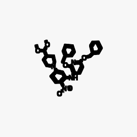 COC(OC)C1CCN(c2ccc([N+](=O)[O-])c(Nc3ccc(OCc4ccccc4)nc3OCc3ccccc3)c2)CC1